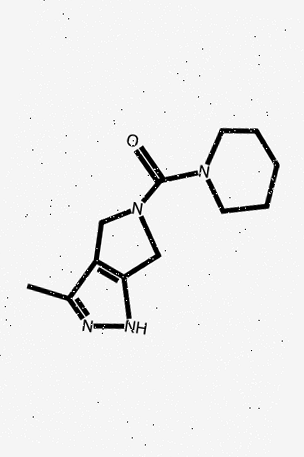 Cc1n[nH]c2c1CN(C(=O)N1CCCCC1)C2